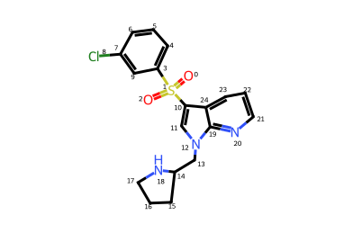 O=S(=O)(c1cccc(Cl)c1)c1cn(CC2CCCN2)c2ncccc12